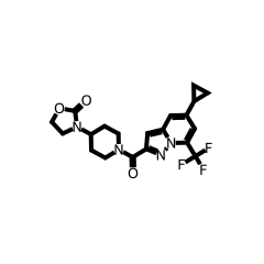 O=C(c1cc2cc(C3CC3)cc(C(F)(F)F)n2n1)N1CCC(N2CCOC2=O)CC1